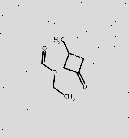 CC1CC(=O)C1.CCOC=O